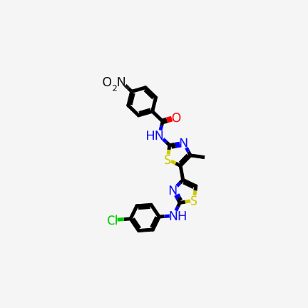 Cc1nc(NC(=O)c2ccc([N+](=O)[O-])cc2)sc1-c1csc(Nc2ccc(Cl)cc2)n1